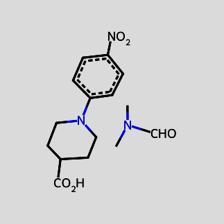 CN(C)C=O.O=C(O)C1CCN(c2ccc([N+](=O)[O-])cc2)CC1